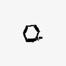 [SeH2].c1ccccc1